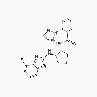 O=C(N[C@@H]1CCC[C@H]1Nc1nc2c(F)cccc2s1)c1ccccc1-n1nccn1